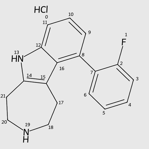 Cl.Fc1ccccc1-c1cccc2[nH]c3c(c12)CCNCC3